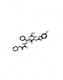 C=C(CN1CCSCC1)C(=O)NC[C@@H](NC(=O)[C@H](Cc1nc2ccc(Cl)cc2s1)NC(=O)CCC)C1CCCCC1